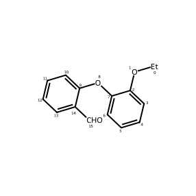 CCOc1ccccc1Oc1ccccc1C=O